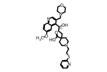 COc1ccc2ncc(CN3CCOCC3)c([C@@H](O)CCC3(C(=O)O)CCN(CCSc4ccccn4)CC3)c2c1